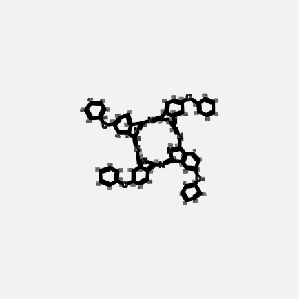 c1ccc(Oc2ccc3c(c2)-c2nc-3nc3[nH]c(nc4nc(nc5[nH]c(n2)c2ccc(Oc6ccccc6)cc52)-c2cc(Oc5ccccc5)ccc2-4)c2ccc(Oc4ccccc4)cc32)cc1